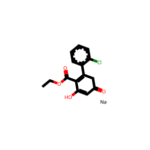 CCOC(=O)C1=C(c2ccccc2Cl)CC(=O)C=C1O.[Na]